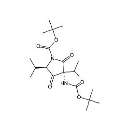 CC(C)[C@@H]1C(=O)[C@](NC(=O)OC(C)(C)C)(C(C)C)C(=O)N1C(=O)OC(C)(C)C